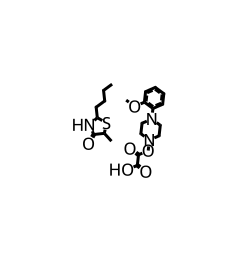 CCCCC1NC(=O)C(C)S1.COc1ccccc1N1CCN(OC(=O)C(=O)O)CC1